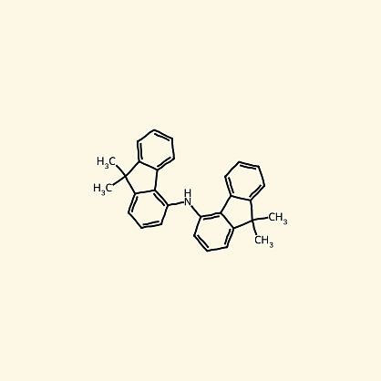 CC1(C)c2ccccc2-c2c(Nc3cccc4c3-c3ccccc3C4(C)C)cccc21